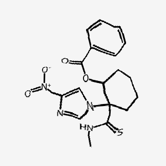 CNC(=S)C1(n2cnc([N+](=O)[O-])c2)CCCCC1OC(=O)c1ccccc1